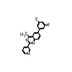 Cc1nc(-c2cccnc2)nc2ccc(-c3cc(F)cc(F)c3)cc12